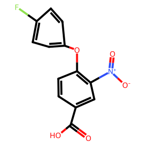 O=C(O)c1ccc(Oc2ccc(F)cc2)c([N+](=O)[O-])c1